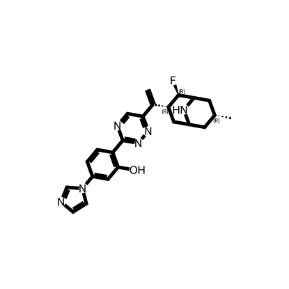 C=C(c1cnc(-c2ccc(-n3ccnc3)cc2O)nn1)[C@H]1CC2C[C@@H](C)CC(N2)[C@@H]1F